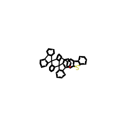 c1ccc2c(c1)-c1ccccc1C21c2ccccc2C2(c3ccccc3-c3ccccc32)c2c(-c3ccc4sc5ccccc5c4c3)cccc21